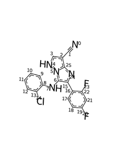 N#Cc1c[nH]n2c(Nc3ccccc3Cl)c(-c3ccc(F)cc3F)nc12